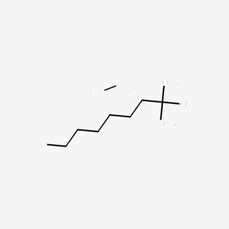 CCCCCCC(Cl)(CCCCCC)CCCCCCCl.CCOC(C)=O